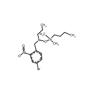 CCCC[Si](C)(C)ON(CCC)Cc1ccc(Br)cc1[N+](=O)[O-]